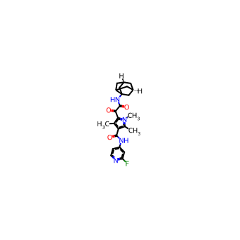 Cc1c(C(=O)Nc2ccnc(F)c2)c(C)n(C)c1C(=O)C(=O)NC12C[C@@H]3CC1C[C@@H](C3)C2